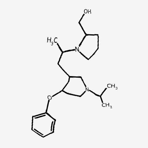 CC(C)N1CC(CC(C)N2CCCC2CO)C(Oc2ccccc2)C1